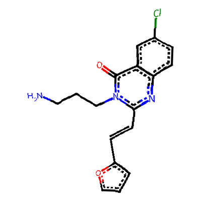 NCCCn1c(C=Cc2ccco2)nc2ccc(Cl)cc2c1=O